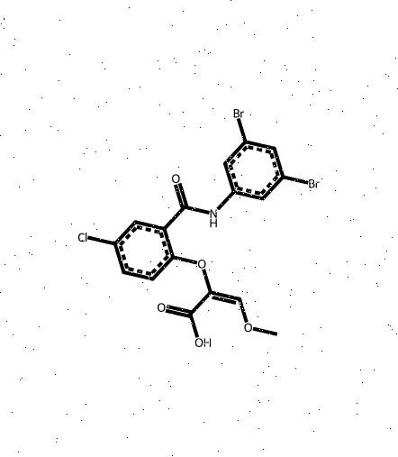 COC=C(Oc1ccc(Cl)cc1C(=O)Nc1cc(Br)cc(Br)c1)C(=O)O